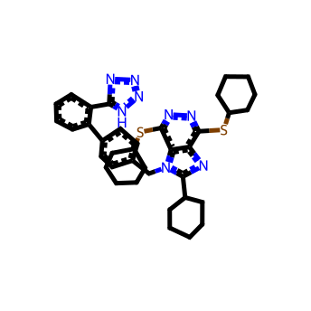 c1ccc(-c2nnn[nH]2)c(-c2ccc(Cn3c(C4CCCCC4)nc4c(SC5CCCCC5)nnc(SC5CCCCC5)c43)cc2)c1